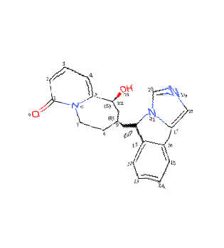 O=c1cccc2n1CC[C@H](C1c3ccccc3-c3cncn31)[C@@H]2O